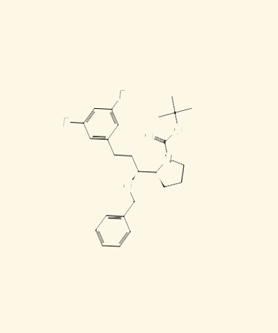 C[C@@H](Cc1cc(F)cc(F)c1)[C@H](OCc1ccccc1)[C@@H]1CCCN1C(=O)OC(C)(C)C